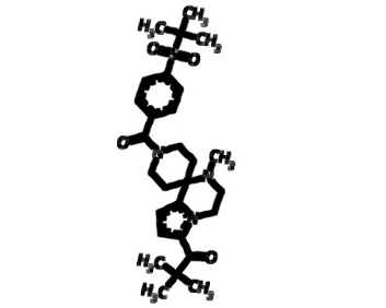 CN1CCn2c(C(=O)C(C)(C)C)ccc2C12CCN(C(=O)c1ccc(S(=O)(=O)C(C)(C)C)cc1)CC2